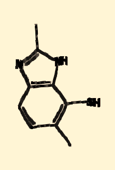 Cc1nc2ccc(C)c(S)c2[nH]1